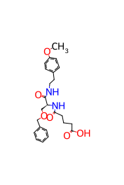 COc1ccc(CCNC(=O)[C@H](COCc2ccccc2)NC(=O)CCCC(=O)O)cc1